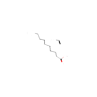 C=CC(=O)O.O=C(O)CCCCCCCCC(=O)OF